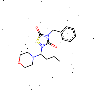 CCCC(N1CCOCC1)n1sc(=O)n(Cc2ccccc2)c1=O